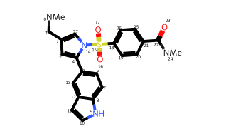 CNCc1cc(-c2ccc3[nH]ccc3c2)n(S(=O)(=O)c2ccc(C(=O)NC)cc2)c1